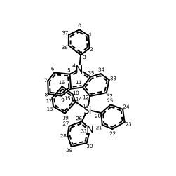 c1ccc(-n2c3ccccc3c3c([Si](c4ccccc4)(c4ccccc4)c4ccccn4)cccc32)cc1